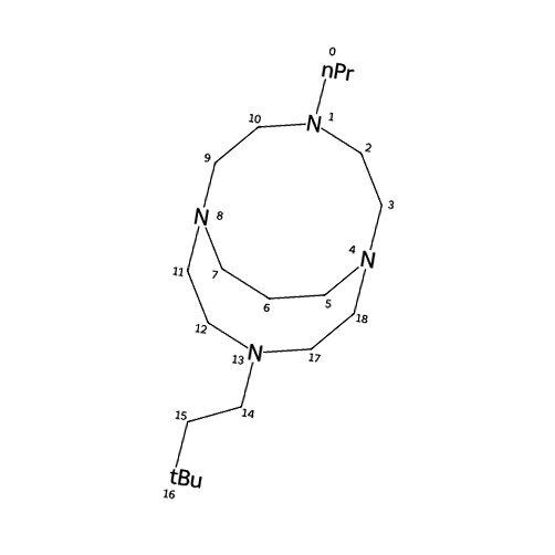 CCCN1CCN2CCCN(CC1)CCN(CCC(C)(C)C)CC2